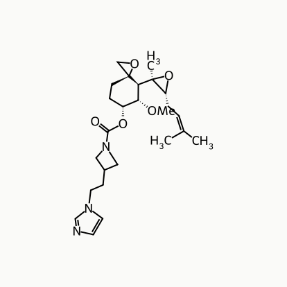 CO[C@@H]1[C@H](OC(=O)N2CC(CCn3ccnc3)C2)CC[C@]2(CO2)[C@H]1[C@@]1(C)O[C@@H]1CC=C(C)C